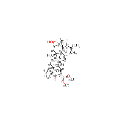 C=C(C)[C@@H]1CC[C@]2(CO)CC[C@]3(C)[C@H](CC[C@@H]4[C@@]5(C)C=C(C(OCC)OCC)C(=O)C(C)(C)[C@@H]5CC[C@]43C)[C@@H]12